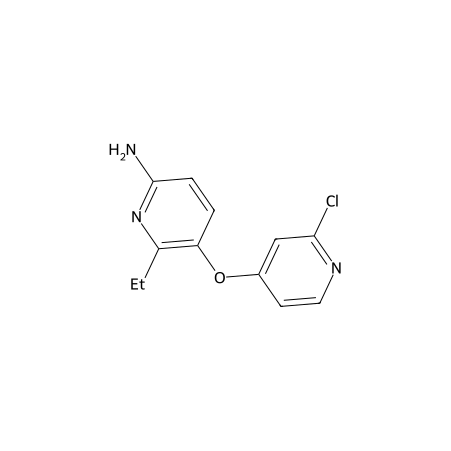 CCc1nc(N)ccc1Oc1ccnc(Cl)c1